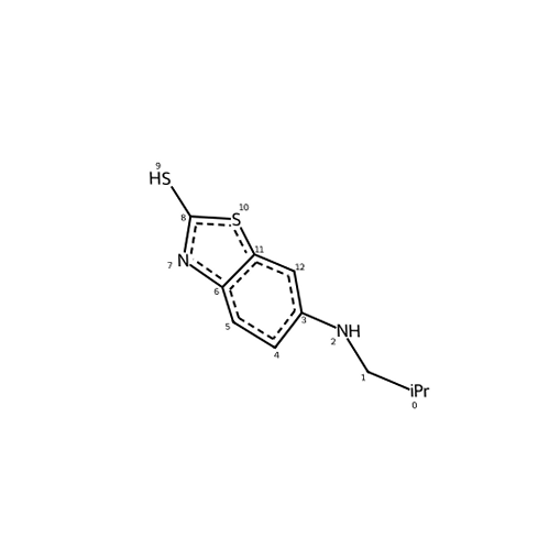 CC(C)CNc1ccc2nc(S)sc2c1